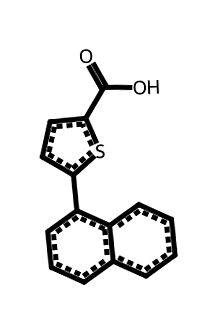 O=C(O)c1ccc(-c2cccc3ccccc23)s1